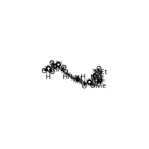 CC[C@@H]1C(=O)N(C)c2cnc(Nc3ccc(C(=O)NCc4cn(CCNCCOCC(=O)Nc5cccc6c5CN(C5CCC(=O)NC5=O)C6=O)nn4)cc3OC)nc2N1Cc1ccc(C#N)s1